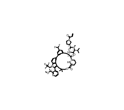 C=CC(=O)N1CC[C@H](C(=O)N(C)[C@H](C(=O)N[C@H]2Cc3cc(cc(C(F)F)c3)-c3ccc4c(c3)c(c(-c3cccnc3[C@H](C)OC)n4CC(F)(F)F)CC(C)(C)COC(=O)[C@@H]3CCCN(N3)C2=O)C(C)C)C1